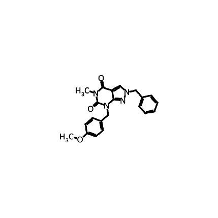 COc1ccc(Cn2c(=O)n(C)c(=O)c3cn(Cc4ccccc4)nc32)cc1